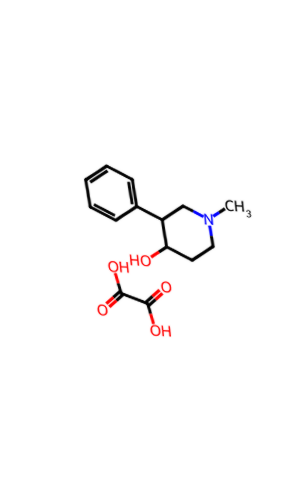 CN1CCC(O)C(c2ccccc2)C1.O=C(O)C(=O)O